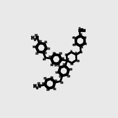 CCCCc1ccc(CC2CCC(c3ccc(Cc4ccc(N)cc4)cc3)(c3ccc(Cc4ccc(N)cc4)cc3)CC2)cc1